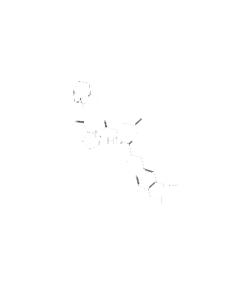 C=CCC(NC(=O)C(O)Cc1ccc(O)c(O)c1)C(=O)N1CCCC1C(=O)O[C@@H]1CC2CCC1(C)C2(C)C